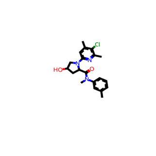 Cc1cccc(N(C)C(=O)C2CC(O)CN2c2cc(C)c(Cl)c(C)n2)c1